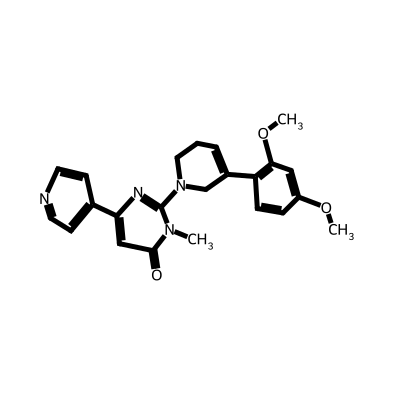 COc1ccc(C2=CCCN(c3nc(-c4ccncc4)cc(=O)n3C)C2)c(OC)c1